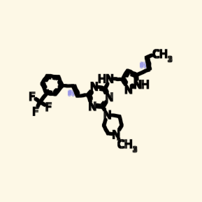 C/C=C/c1cc(Nc2nc(/C=C/c3cccc(C(F)(F)F)c3)nc(N3CCN(C)CC3)n2)n[nH]1